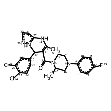 CC1=C(C(=O)N2CCN(c3ccc(F)cc3)CC2C)C(c2ccc(Cl)c(Cl)c2)n2nccc2N1